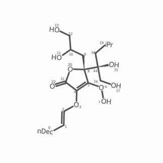 CCCCCCCCCCC=COC1=C(OO)[C@@](CC(O)CO)([C@@](O)(CO)CC(C)C)OC1=O